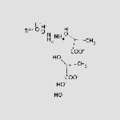 CC(O)C(=O)[O-].CC(O)C(=O)[O-].[NH4+].[NH4+].[OH-].[OH-].[OH-].[OH-].[Ti+4]